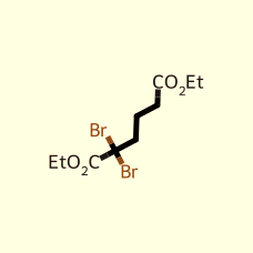 CCOC(=O)CCCC(Br)(Br)C(=O)OCC